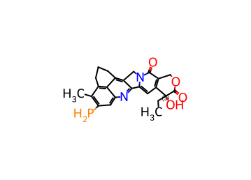 CC[C@@]1(O)C(=O)OCc2c1cc1n(c2=O)Cc2c-1nc1cc(P)c(C)c3c1c2CCC3